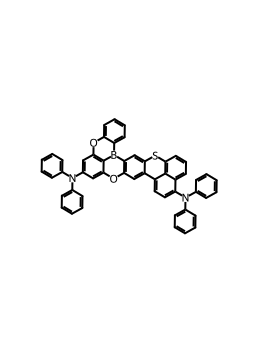 c1ccc(N(c2ccccc2)c2cc3c4c(c2)Oc2cc5c(cc2B4c2ccccc2O3)Sc2cccc3c(N(c4ccccc4)c4ccccc4)ccc-5c23)cc1